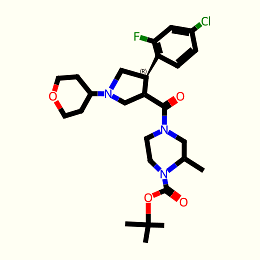 CC1CN(C(=O)C2CN(C3CCOCC3)C[C@H]2c2ccc(Cl)cc2F)CCN1C(=O)OC(C)(C)C